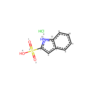 Cl.O=S(=O)(O)c1cc2ccccc2[nH]1